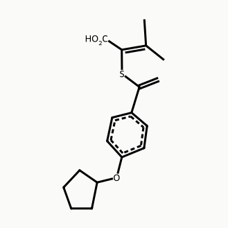 C=C(SC(C(=O)O)=C(C)C)c1ccc(OC2CCCC2)cc1